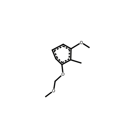 COCOc1cccc(OC)c1C